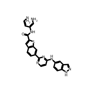 N/C=C\C(=C/N)NC(=O)c1cc2ccc(-c3nccc(Nc4ccc5[nH]ncc5c4)n3)cc2s1